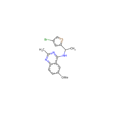 COc1ccc2nc(C)nc(NC(C)c3cc(Br)cs3)c2c1